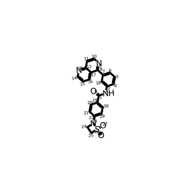 O=C(Nc1cccc(-c2nccc3ncccc23)c1)c1ccc(N2CCS2(=O)=O)cc1